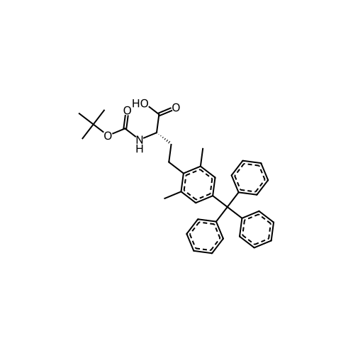 Cc1cc(C(c2ccccc2)(c2ccccc2)c2ccccc2)cc(C)c1CC[C@H](NC(=O)OC(C)(C)C)C(=O)O